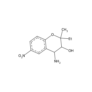 CCC1(C)Oc2ccc([N+](=O)[O-])cc2C(N)C1O